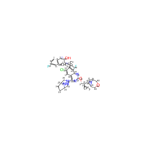 C/C(=C\C(O)=C/c1ccc(F)cc1C)c1c(Cl)cc2c(N3CC4CCC(C3)N4)nc(OC[C@H](C)CN3C4CCC3COC4)nc2c1F